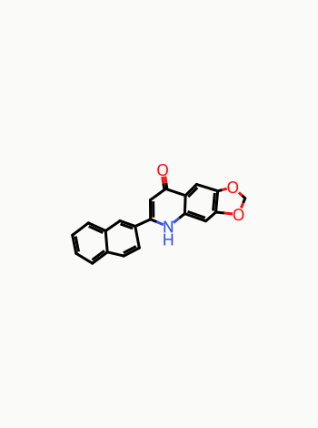 O=c1cc(-c2ccc3ccccc3c2)[nH]c2cc3c(cc12)OCO3